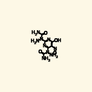 NC(=O)N(N)c1nc(O)c(N=O)c(N(N)C(N)=O)n1